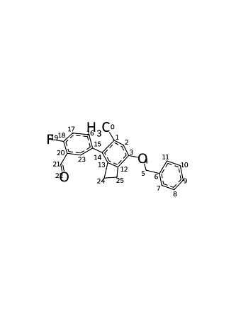 Cc1cc(OCc2ccccc2)c2c(c1-c1ccc(F)c(C=O)c1)CC2